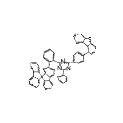 c1ccc(-c2nc(-c3ccc(-c4cccc5sc6ccccc6c45)cc3)nc(-c3ccccc3-c3ccc4c(c3)C3(c5ccccc5-c5ccccc53)c3ccccc3-4)n2)cc1